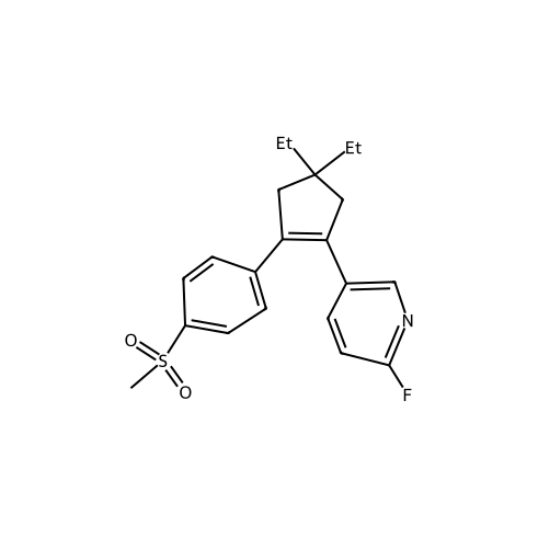 CCC1(CC)CC(c2ccc(S(C)(=O)=O)cc2)=C(c2ccc(F)nc2)C1